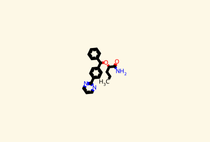 CCCC(OC(c1ccccc1)c1ccc(-c2ncccn2)cc1)C(N)=O